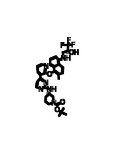 Cc1ccc2c(NC[C@H](O)C(F)(F)F)cccc2c1Oc1ncccc1-c1ccnc(N[C@H]2CCCN(C(=O)OC(C)(C)C)C2)n1